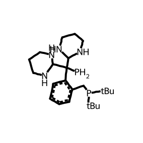 CC(C)(C)P(Cc1ccccc1C(P)(C1NCCCN1)C1NCCCN1)C(C)(C)C